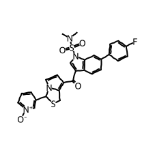 CN(C)S(=O)(=O)n1cc(C(=O)c2ccn3c2CSC3c2ccc[n+]([O-])c2)c2ccc(-c3ccc(F)cc3)cc21